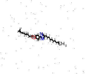 CCCCCCCCCCc1cnc(-c2ccc(OCCCCCCC3CC3)cc2)nc1